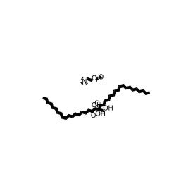 CCCCCCCC/C=C\CCCCCCCC(=O)C(O)C(O)(CO)C(=O)CCCCCCC/C=C\CCCCCCCC.C[N+](C)(C)CCOP=O